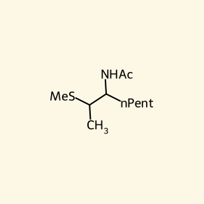 CCCCCC(NC(C)=O)C(C)SC